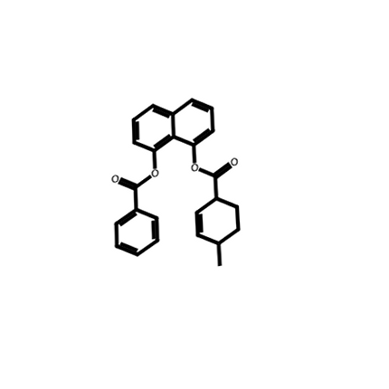 CC1C=CC(C(=O)Oc2cccc3cccc(OC(=O)c4ccccc4)c23)CC1